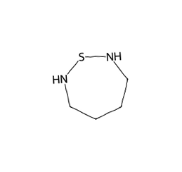 C1CCNSNC1